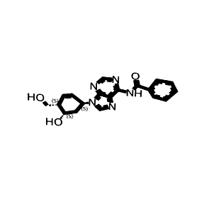 O=C(Nc1ncnc2c1ncn2[C@@H]1C=C[C@@H](CO)[C@@H](O)C1)c1ccccc1